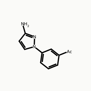 CC(=O)c1cccc(-n2ccc(N)n2)c1